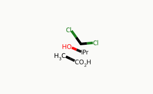 CC(=O)O.CC(C)O.ClCCl